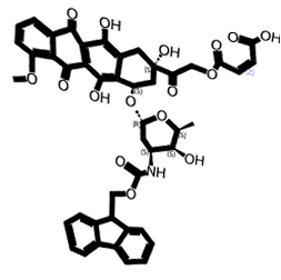 COc1cccc2c1C(=O)c1c(O)c3c(c(O)c1C2=O)C[C@@](O)(C(=O)COC(=O)/C=C\C(=O)O)C[C@@H]3O[C@H]1C[C@H](NC(=O)OCC2c3ccccc3-c3ccccc32)[C@H](O)[C@H](C)O1